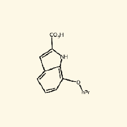 CCCOc1cccc2cc(C(=O)O)[nH]c12